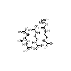 S=C([S-])NCCNC(=S)[S-].S=C([S-])NCCNC(=S)[S-].S=C([S-])NCCNC(=S)[S-].[Mn+2].[Mn+2].[Zn+2]